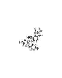 C=C(c1ccc(C2CC3(CCNCC3)Cc3ccc(F)cc32)c(O)c1)N(CC)CC